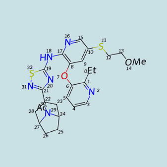 CCc1ncccc1Oc1cc(SCCOC)cnc1Nc1nc(C2CC3CCC(C2)N3C(C)=O)ns1